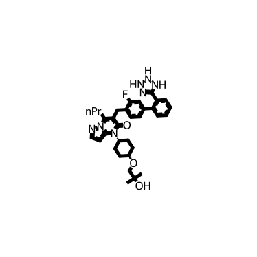 CCCc1c(Cc2ccc(-c3ccccc3C3=NNNN3)cc2F)c(=O)n([C@H]2CC[C@H](OCC(C)(C)O)CC2)c2ccnn12